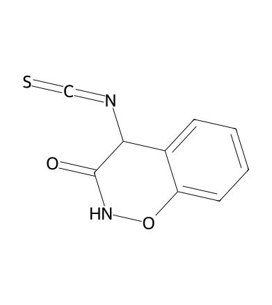 O=C1NOc2ccccc2C1N=C=S